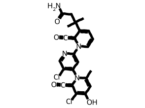 CC1=CC(O)=C(Cl)C(=C=O)N1c1cc(N2C=CC=C(C(C)(C)CC(N)=O)C2=C=O)ncc1Cl